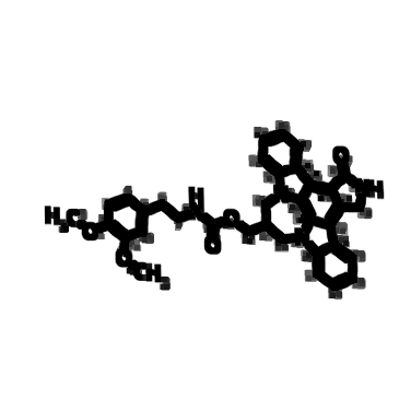 COc1ccc(CCNC(=O)OCC2Cn3c4ccccc4c4c5c(c6c7ccccc7n(c6c43)C2)C(=O)NC5)cc1OC